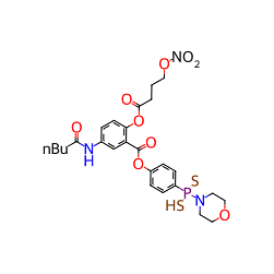 CCCCC(=O)Nc1ccc(OC(=O)CCCO[N+](=O)[O-])c(C(=O)Oc2ccc(P(=S)(S)N3CCOCC3)cc2)c1